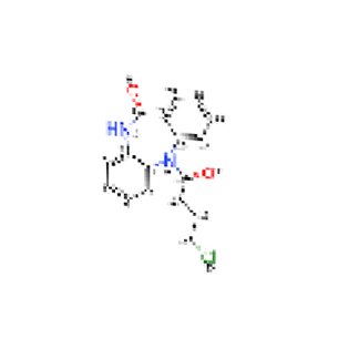 O=C1Nc2ccccc2N(C(=O)CCCCl)c2ccccc21